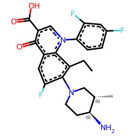 CCc1c(N2CC[C@H](N)[C@@H](C)C2)c(F)cc2c(=O)c(C(=O)O)cn(-c3ccc(F)cc3F)c12